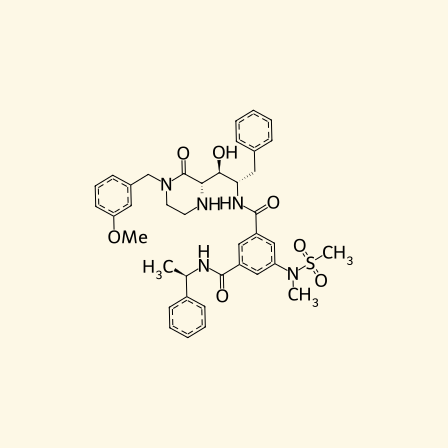 COc1cccc(CN2CCN[C@@H]([C@@H](O)[C@H](Cc3ccccc3)NC(=O)c3cc(C(=O)N[C@H](C)c4ccccc4)cc(N(C)S(C)(=O)=O)c3)C2=O)c1